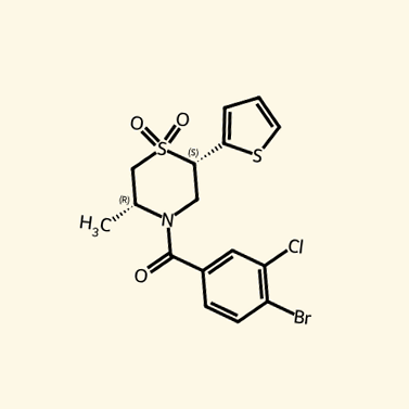 C[C@@H]1CS(=O)(=O)[C@H](c2cccs2)CN1C(=O)c1ccc(Br)c(Cl)c1